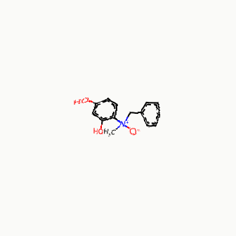 C[N+]([O-])(Cc1ccccc1)c1ccc(O)cc1O